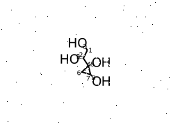 OC[C@@H](O)[C@]1(O)CC1O